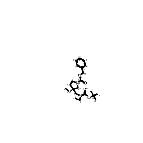 CO[C@@]1([C@H]2CCN2C(=O)OC(C)(C)C)CCN(C(=O)OCc2ccccc2)C1